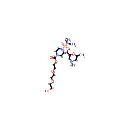 CC1CN(C(C)C)CC(COP(=O)(N(C)C)N2CCN(C(=O)OCCOCCOCCO)CC2)O1